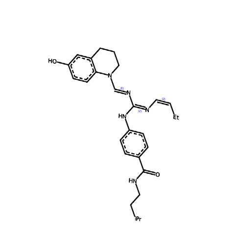 CC\C=C/N=C(\N=C\N1CCCc2cc(O)ccc21)Nc1ccc(C(=O)NCCC(C)C)cc1